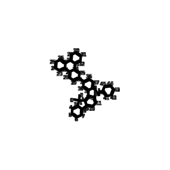 CC1(C)c2ccccc2-c2ccc3c(c21)c1cc(-c2ccc4c5ccccc5c5ccccc5c4c2)ccc1n3-c1ccccc1